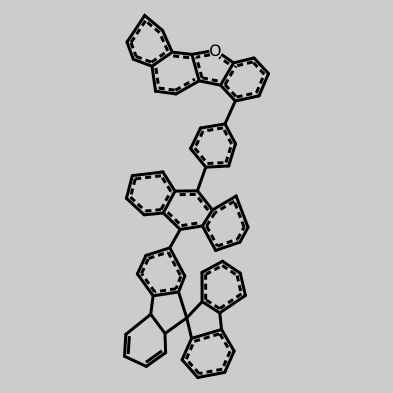 C1=CC2c3ccc(-c4c5ccccc5c(-c5ccc(-c6cccc7oc8c9ccccc9ccc8c67)cc5)c5ccccc45)cc3C3(c4ccccc4-c4ccccc43)C2C=C1